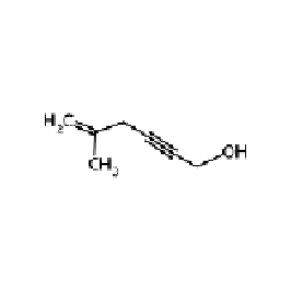 C=C(C)CC#CCO